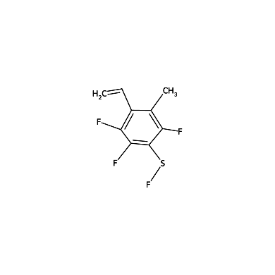 C=Cc1c(C)c(F)c(SF)c(F)c1F